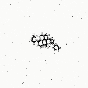 Cn1c(-c2ccccc2)cnc1-c1ccc2ccc3c(-c4ccccc4)ccc4ccc1c2c43